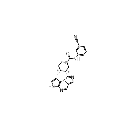 C[C@@H]1CCN(C(=O)Nc2cccc(C#N)c2)C[C@@H]1c1ncc2cnc3[nH]ccc3n12